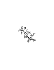 FC(OP1(F)=NP(F)N(F)P(F)N1F)C(F)(F)F